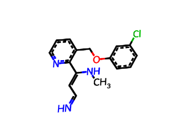 CN/C(=C\C=N)c1ncccc1COc1cccc(Cl)c1